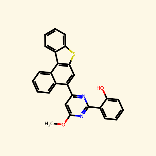 COc1cc(-c2cc3sc4ccccc4c3c3ccccc23)nc(-c2ccccc2O)n1